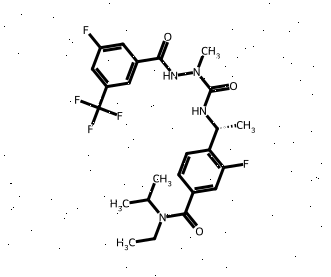 CCN(C(=O)c1ccc([C@@H](C)NC(=O)N(C)NC(=O)c2cc(F)cc(C(F)(F)F)c2)c(F)c1)C(C)C